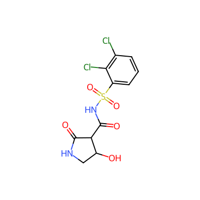 O=C1NCC(O)C1C(=O)NS(=O)(=O)c1cccc(Cl)c1Cl